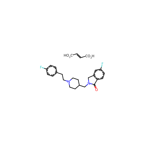 O=C(O)/C=C/C(=O)O.O=C1c2ccc(F)cc2CN1CC1CCN(CCc2ccc(F)cc2)CC1